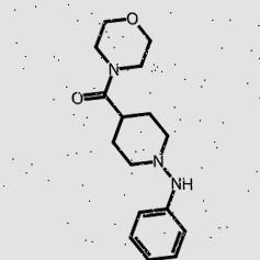 O=C(C1CCN(Nc2ccccc2)CC1)N1CCOCC1